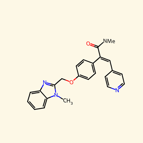 CNC(=O)/C(=C/c1ccncc1)c1ccc(OCc2nc3ccccc3n2C)cc1